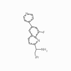 CC(C)CC(N)c1ccc2cc(-c3ccncc3)cc(F)c2n1